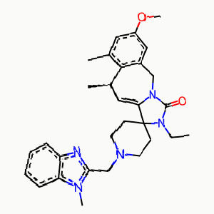 CCN1C(=O)N2Cc3cc(OC)cc(C)c3[C@H](C)C=C2C12CCN(Cc1nc3ccccc3n1C)CC2